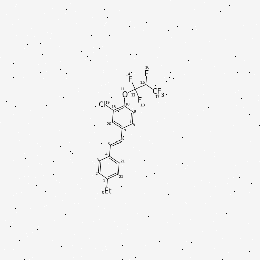 CCc1ccc(C=Cc2ccc(OC(F)(F)C(F)C(F)(F)F)c(Cl)c2)cc1